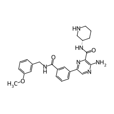 COc1cccc(CNC(=O)c2cccc(-c3cnc(N)c(C(=O)N[C@H]4CCCNC4)n3)c2)c1